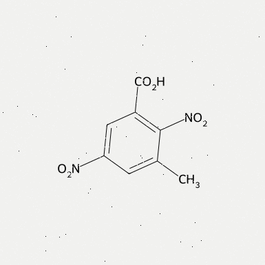 Cc1cc([N+](=O)[O-])cc(C(=O)O)c1[N+](=O)[O-]